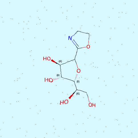 OC[C@@H](O)[C@H]1OC(C2=NCCO2)[C@H](O)[C@H]1O